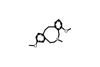 COc1ccc2c(c1)CCN(C)Cc1c(cccc1OC)CC2